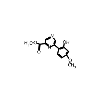 COC(=O)c1cncc(-c2ccc(OC)cc2O)n1